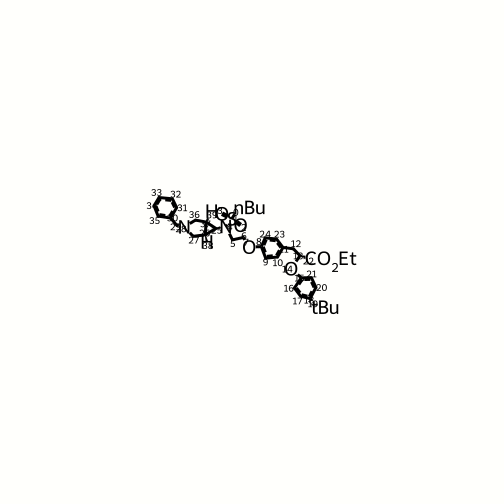 CCCCS(=O)(=O)N(CCOc1ccc(C[C@H](Oc2ccc(C(C)(C)C)cc2)C(=O)OCC)cc1)[C@H]1[C@@H]2CN(Cc3ccccc3)C[C@@H]21